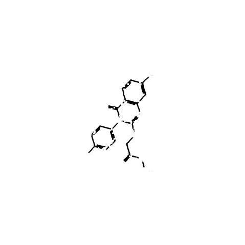 CC(C)(C)OC(=O)CSc1nc2cc(N)ccc2c(=O)n1-c1ccc(F)cc1